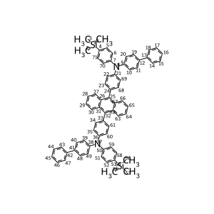 C[Si](C)(C)c1ccc(N(c2ccc(-c3ccccc3)cc2)c2ccc(-c3c4ccccc4c(-c4ccc(N(c5ccc(-c6ccccc6)cc5)c5ccc([Si](C)(C)C)cc5)cc4)c4ccccc34)cc2)cc1